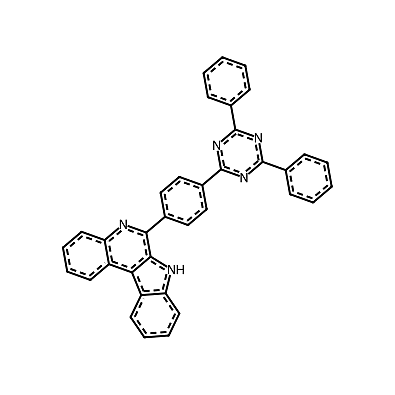 c1ccc(-c2nc(-c3ccccc3)nc(-c3ccc(-c4nc5ccccc5c5c4[nH]c4ccccc45)cc3)n2)cc1